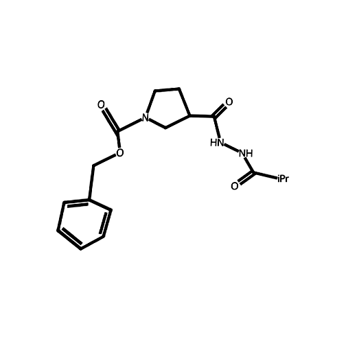 CC(C)C(=O)NNC(=O)C1CCN(C(=O)OCc2ccccc2)C1